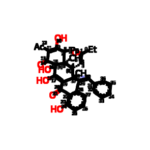 CCC(=O)C[C@H]1[C@]2(C)C(C(C)C)C(O)=C(C(C)=O)C(=O)[C@]2(O)C(O)=C2C(=O)c3c(O)cccc3/C(=C\c3ccccc3)[C@@]21C